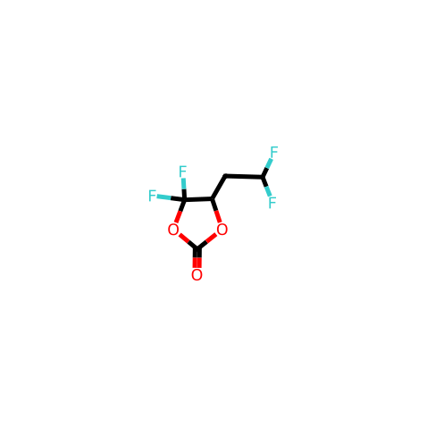 O=C1OC(CC(F)F)C(F)(F)O1